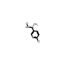 C[C@@H](NCl)c1ccc(Cl)nc1